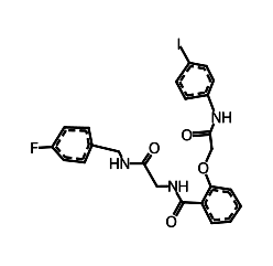 O=C(CNC(=O)c1ccccc1OCC(=O)Nc1ccc(I)cc1)NCc1ccc(F)cc1